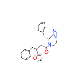 O=C(CC(Cc1ccccc1)c1ccco1)N1CCNC[C@H]1Cc1ccccc1